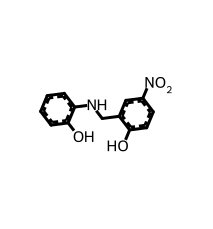 O=[N+]([O-])c1ccc(O)c(CNc2ccccc2O)c1